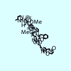 CC[C@H](C)[C@@H]([C@@H](CC(=O)N1CCC[C@H]1[C@H](OC)[C@@H](C)C(=O)N[C@@H](Cc1ccccc1)C(=O)NS(=O)(=O)CCCn1cc(CN2C(=O)C=CC2=O)nn1)OC)N(C)C(=O)[C@@H](Nc1nccc(C)n1)C(C)C